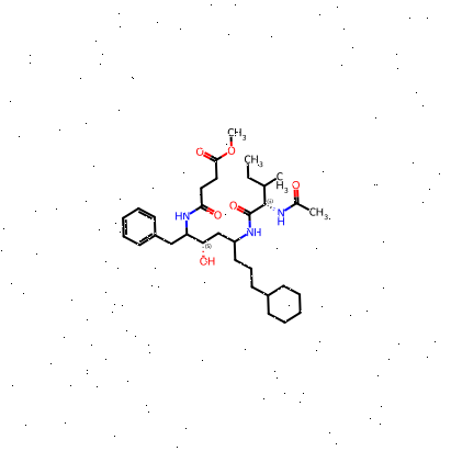 CCC(C)[C@H](NC(C)=O)C(=O)NC(CCCC1CCCCC1)C[C@H](O)C(Cc1ccccc1)NC(=O)CCC(=O)OC